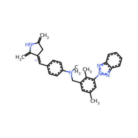 C=C1C/C(=C\c2ccc(N(C)Cc3cc(C)cc(-n4nc5ccccc5n4)c3C)cc2)C(=C)N1